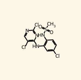 CS(=O)(=O)Nc1ccc(Cl)cc1Nc1nc(Cl)ncc1Cl